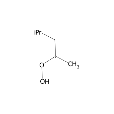 C[C](CC(C)C)OO